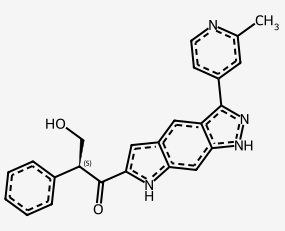 Cc1cc(-c2n[nH]c3cc4[nH]c(C(=O)[C@H](CO)c5ccccc5)cc4cc23)ccn1